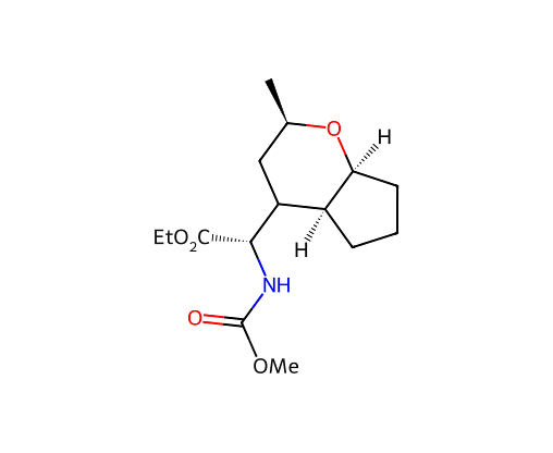 CCOC(=O)[C@@H](NC(=O)OC)C1C[C@@H](C)O[C@H]2CCC[C@@H]12